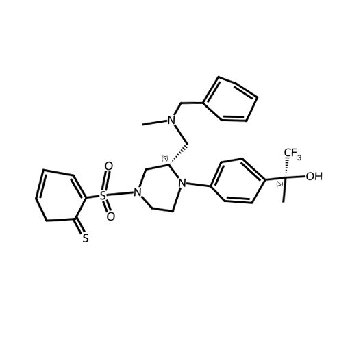 CN(Cc1ccccc1)C[C@H]1CN(S(=O)(=O)C2=CC=CCC2=S)CCN1c1ccc([C@](C)(O)C(F)(F)F)cc1